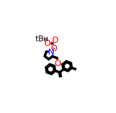 C=C(c1ccccc1)c1cc(C)ccc1OCC1CCCN1OC(=O)OC(C)(C)C